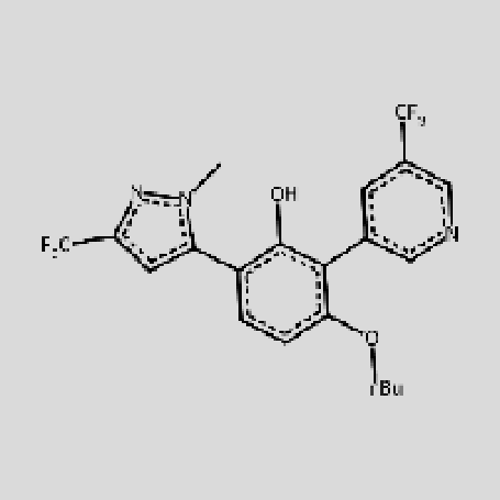 CCCCOc1ccc(-c2cc(C(F)(F)F)nn2C)c(O)c1-c1cncc(C(F)(F)F)c1